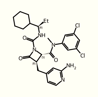 CC[C@@H](NC(=O)N1C(=O)[C@H](Cc2ccnc(N)c2)[C@H]1C(=O)N(C)c1cc(Cl)cc(Cl)c1)C1CCCCC1